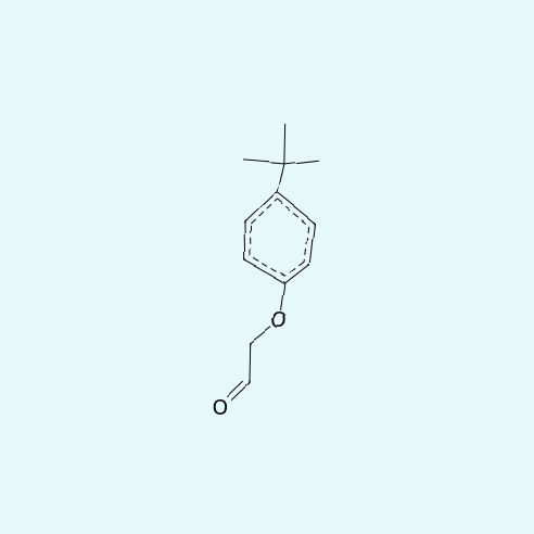 CC(C)(C)c1ccc(OCC=O)cc1